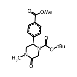 COC(=O)c1ccc([C@@H]2CN(C)C(=O)CN2C(=O)OC(C)(C)C)cc1